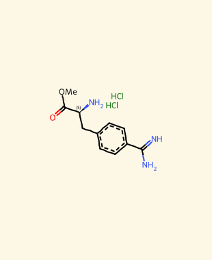 COC(=O)[C@@H](N)Cc1ccc(C(=N)N)cc1.Cl.Cl